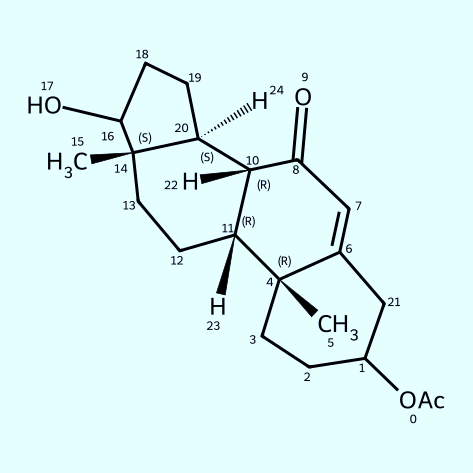 CC(=O)OC1CC[C@@]2(C)C(=CC(=O)[C@@H]3[C@H]2CC[C@]2(C)C(O)CC[C@@H]32)C1